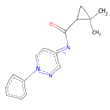 CC1(C)CC1C(=O)/N=c1\ccn(-c2ccccc2)nc1